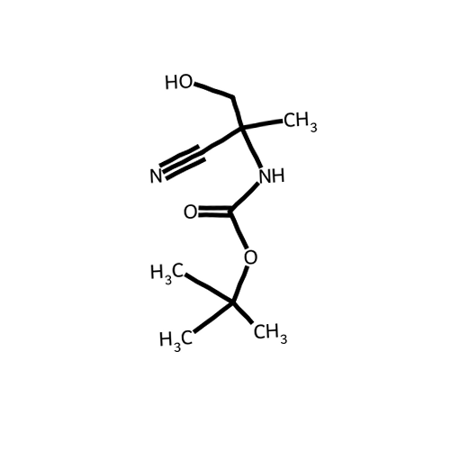 CC(C#N)(CO)NC(=O)OC(C)(C)C